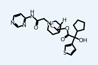 O=C(C[N+]12CCC(CC1)[C@@H](OC(=O)C(O)(c1ccsc1)C1CCCC1)C2)Nc1ccncn1